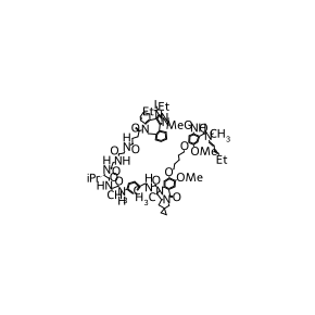 CC/C=C/C=C/N(C)C(=O)c1cc(OC)c(OCCCCCOc2cc3c(cc2OC)C(=O)N2CC4(CC4)CC2[C@H](C)N3C(=O)NCc2ccc(NC(=O)[C@H](C)NC(=O)[C@@H](NC(=O)CNC(=O)CNC(=O)CCC(=O)N3Cc4ccccc4-c4nnn(C(I)(CC)CC)c4C4=C3C=CCC4)C(C)C)cc2)cc1NOC